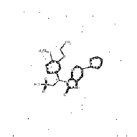 CCOc1cc([C@H](CS(C)(=O)=O)n2c(=O)[nH]c3cc(-c4ccccc4)cnc32)ccc1OC